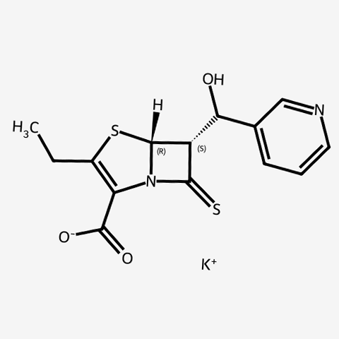 CCC1=C(C(=O)[O-])N2C(=S)[C@@H](C(O)c3cccnc3)[C@H]2S1.[K+]